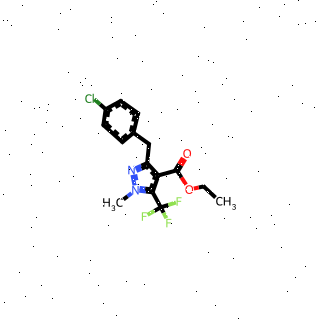 CCOC(=O)c1c(Cc2ccc(Cl)cc2)nn(C)c1C(F)(F)F